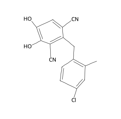 Cc1cc(Cl)ccc1Cc1c(C#N)cc(O)c(O)c1C#N